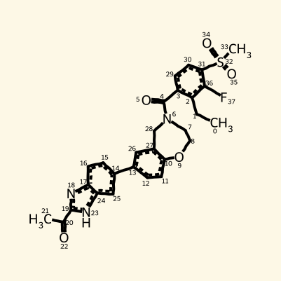 CCc1c(C(=O)N2CCOc3ccc(-c4ccc5nc(C(C)=O)[nH]c5c4)cc3C2)ccc(S(C)(=O)=O)c1F